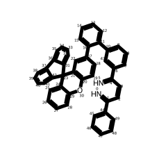 N=C(/C=C\C(=N)c1cccc(-c2ccccc2-c2ccc3c(c2)C2(c4ccccc4O3)c3ccccc3-c3ccccc32)c1)c1ccccc1